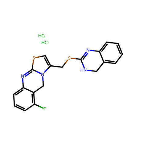 Cl.Cl.Fc1cccc2c1CN1C(CSC3=Nc4ccccc4CN3)=CSC1=N2